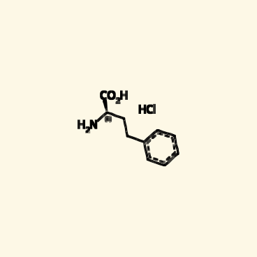 Cl.N[C@H](CCc1ccccc1)C(=O)O